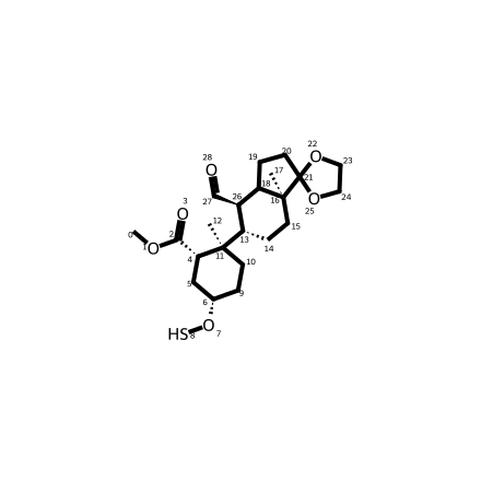 COC(=O)[C@H]1C[C@@H](OS)CC[C@]1(C)[C@H]1CC[C@@]2(C)C(CCC23OCCO3)[C@@H]1C=O